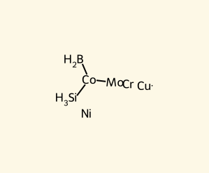 [BH2][Co]([SiH3])[Mo].[Cr].[Cu].[Ni]